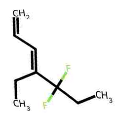 C=C/C=C(\CC)C(F)(F)CC